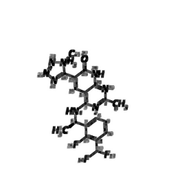 Cc1nc(N[C@H](C)c2cccc(C(F)F)c2F)c2cc(-c3nnnn3C)c(=O)[nH]c2n1